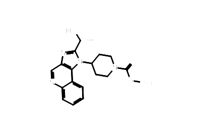 C[C@@H](O)c1nc2cnc3ccccc3c2n1C1CCN(C(=O)OC(C)(C)C)CC1